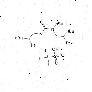 CCCCC(CC)CNC(=O)N(CCCC)CC(CC)CCCC.O=S(=O)(O)C(F)(F)F